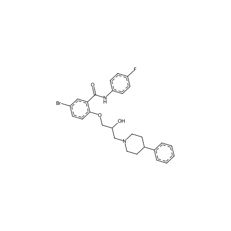 O=C(Nc1ccc(F)cc1)c1cc(Br)ccc1OCC(O)CN1CCC(c2ccccc2)CC1